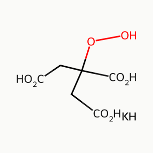 O=C(O)CC(CC(=O)O)(OO)C(=O)O.[KH]